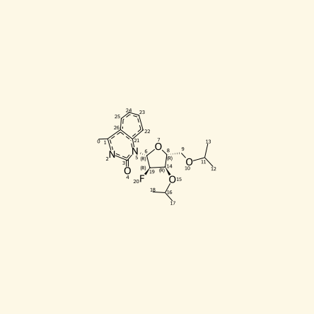 Cc1nc(=O)n([C@@H]2O[C@H](COC(C)C)[C@@H](OC(C)C)[C@H]2F)c2ccccc12